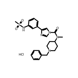 CN(C(=O)n1cnc(-c2cccc(NS(C)(=O)=O)c2)c1)C1CCN(Cc2ccccc2)CC1.Cl